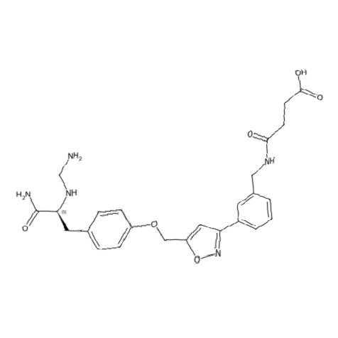 NCN[C@@H](Cc1ccc(OCc2cc(-c3cccc(CNC(=O)CCC(=O)O)c3)no2)cc1)C(N)=O